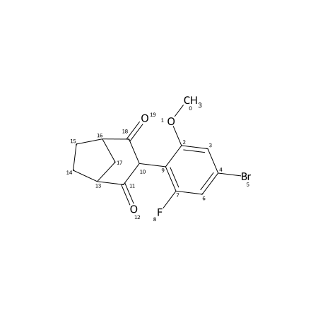 COc1cc(Br)cc(F)c1C1C(=O)C2CCC(C2)C1=O